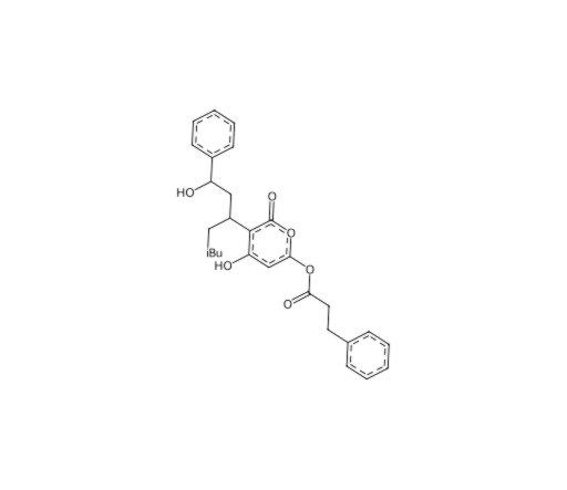 CCC(C)CC(CC(O)c1ccccc1)c1c(O)cc(OC(=O)CCc2ccccc2)oc1=O